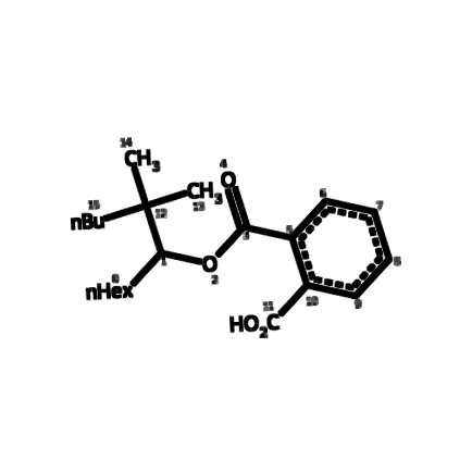 CCCCCCC(OC(=O)c1ccccc1C(=O)O)C(C)(C)CCCC